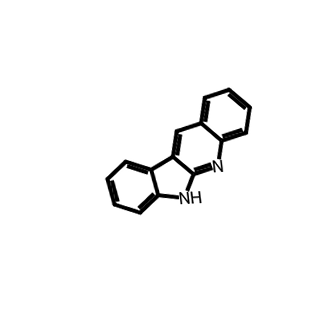 c1ccc2nc3[nH]c4ccccc4c3cc2c1